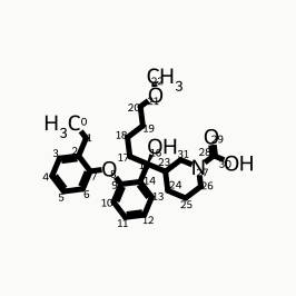 CCc1ccccc1Oc1ccccc1[C@](O)(CCCCOC)C1CCCN(C(=O)O)C1